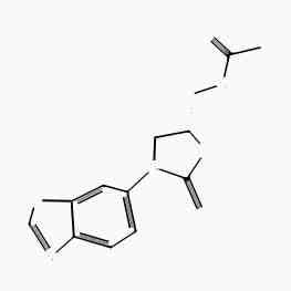 CC(=O)NC[C@H]1CN(c2ccc3ncoc3c2)C(=O)O1